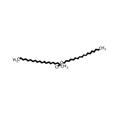 CCCCCCCCCCCCCCCCCCOC(C)(Cl)CCCCCCCCCCCCCCCCCC